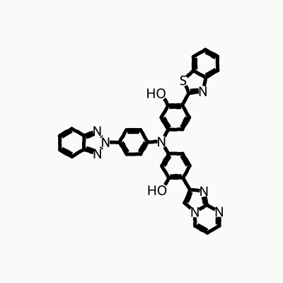 Oc1cc(N(c2ccc(-n3nc4ccccc4n3)cc2)c2ccc(-c3nc4ccccc4s3)c(O)c2)ccc1-c1cn2cccnc2n1